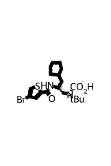 CC(C)(C)N(C[C@H](CC1CCCCC1)NC(=O)c1cc(Br)cs1)C(=O)O